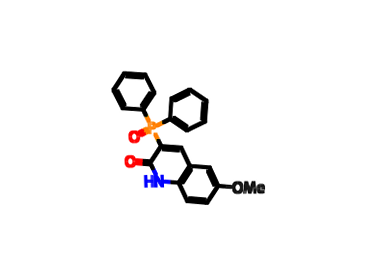 COc1ccc2[nH]c(=O)c(P(=O)(c3ccccc3)c3ccccc3)cc2c1